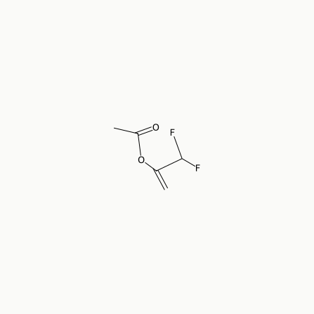 C=C(OC(C)=O)C(F)F